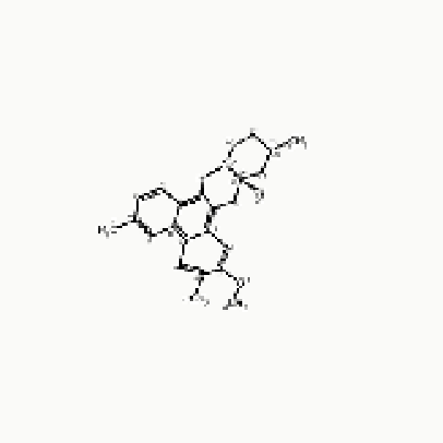 COc1cc2c3c(c4ccc(C)cc4c2cc1C)CN1CC[C@@H](C)C[C@@H]1C3